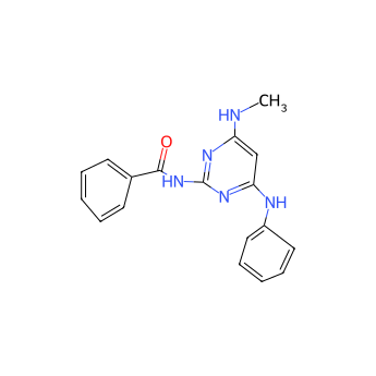 CNc1cc(Nc2ccccc2)nc(NC(=O)c2ccccc2)n1